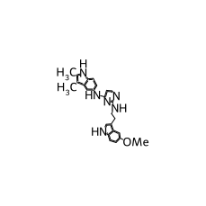 COc1ccc2[nH]cc(CCNc3nccc(Nc4ccc5[nH]c(C)c(C)c5c4)n3)c2c1